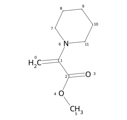 C=C(C(=O)OC)N1CCCCC1